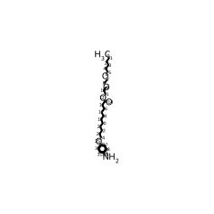 CCCCCCOCCOCCOC(=O)CCCCCCCCCCOc1ccc(N)cc1